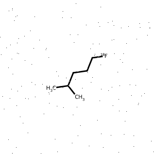 CC(C)CCC[18F]